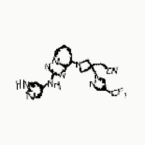 N#CCC1(n2cc(C(F)(F)F)cn2)CN(c2cccn3nc(Nc4cn[nH]c4)nc23)C1